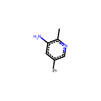 Cc1ncc(C(C)C)cc1N